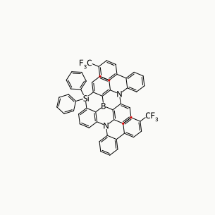 FC(F)(F)c1ccc(-c2ccccc2N2c3cccc4c3B3c5c2cccc5[Si](c2ccccc2)(c2ccccc2)c2cccc(c23)N4c2ccccc2-c2ccc(C(F)(F)F)cc2)cc1